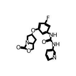 O=C(Nc1cccnc1)Nc1cc(F)cc(O[C@@H]2CC3COC(=O)N3C2)c1